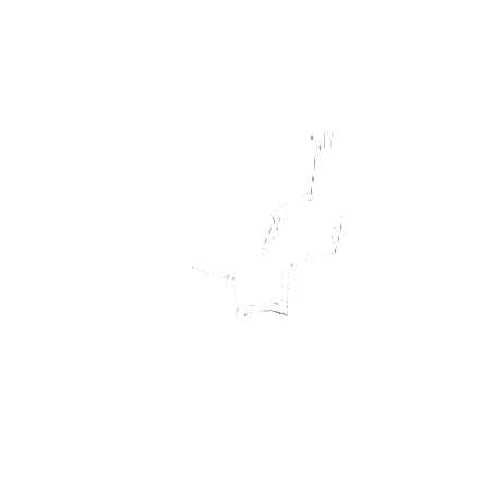 CCn1nc(F)c2ccc(N)cc21